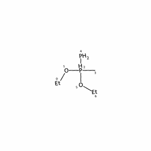 CCO[PH](C)(P)OCC